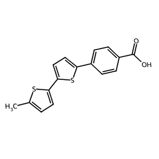 Cc1ccc(-c2ccc(-c3ccc(C(=O)O)cc3)s2)s1